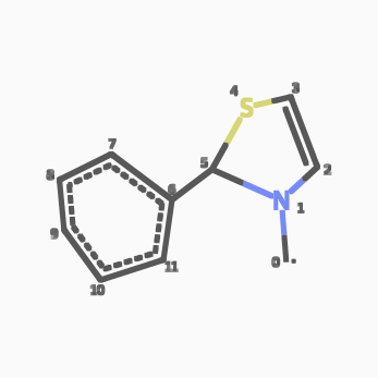 [CH2]N1C=CSC1c1ccccc1